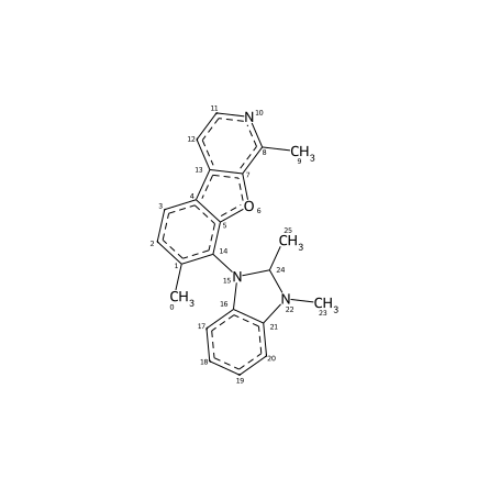 Cc1ccc2c(oc3c(C)nccc32)c1N1c2ccccc2N(C)C1C